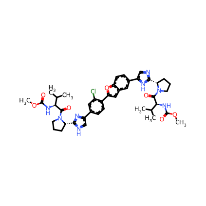 COC(=O)N[C@H](C(=O)N1CCC[C@H]1c1nc(-c2ccc(-c3cc4cc(-c5cnc([C@@H]6CCCN6C(=O)[C@@H](NC(=O)OC)C(C)C)[nH]5)ccc4o3)c(Cl)c2)c[nH]1)C(C)C